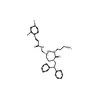 NCCC[C@@H]1N[C@H](CNC(=O)C=Cc2ccc(F)cc2F)CCN(CC(c2ccccc2)c2ccccc2)C1=O